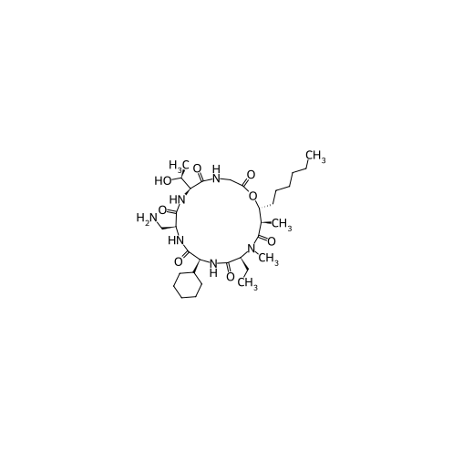 CCCCCC[C@H]1OC(=O)CNC(=O)[C@H]([C@H](C)O)NC(=O)[C@H](CN)NC(=O)[C@H](C2CCCCC2)NC(=O)[C@H](CC)N(C)C(=O)[C@@H]1C